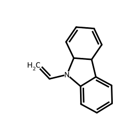 C=CN1c2ccccc2C2C=CC=CC21